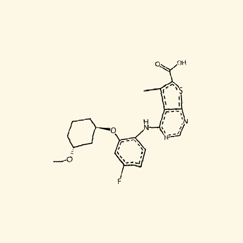 CO[C@@H]1CCC[C@@H](Oc2cc(F)ccc2Nc2ncnc3sc(C(=O)O)c(C)c23)C1